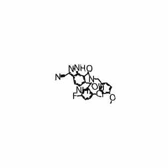 COc1ccc(CN2C(=O)c3c(c(N)cc4c(C#N)n[nH]c34)C2(O)c2cc(F)ccc2Cl)cc1